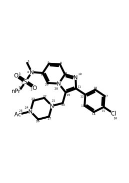 CCCS(=O)(=O)N(C)c1ccc2nc(-c3ccc(Cl)cc3)c(CN3CCN(C(C)=O)CC3)n2c1